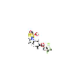 O=[SH](=O)n1ccc2ccc(OCC(F)(F)F)cc21